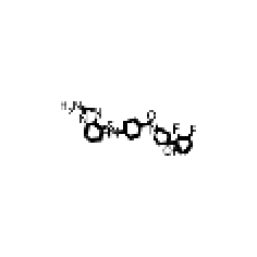 Nc1cnc2c(SNc3ccc(C(=O)N4CCC(O)(c5cccc(F)c5F)CC4)cc3)cccc2n1